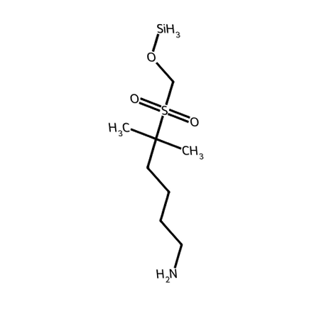 CC(C)(CCCCN)S(=O)(=O)CO[SiH3]